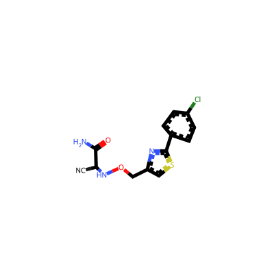 N#CC(NOCc1csc(-c2ccc(Cl)cc2)n1)C(N)=O